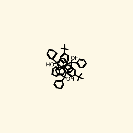 CC(C)(C)c1ccc(N(c2ccccc2C(O)(c2ccccc2)c2ccccc2)c2ccc(C(C)(C)C)cc2C(O)(c2ccccc2)c2ccccc2)c(C(O)(c2ccccc2)c2ccccc2)c1